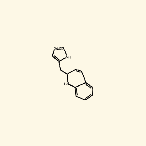 C1=CC(Cc2cnc[nH]2)Nc2ccccc21